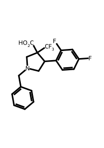 O=C(O)C1(C(F)(F)F)CN(Cc2ccccc2)CC1c1ccc(F)cc1F